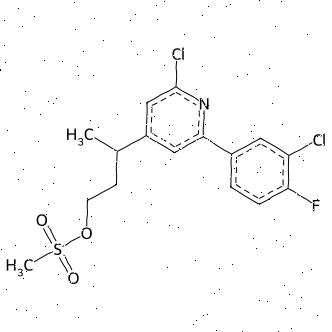 CC(CCOS(C)(=O)=O)c1cc(Cl)nc(-c2ccc(F)c(Cl)c2)c1